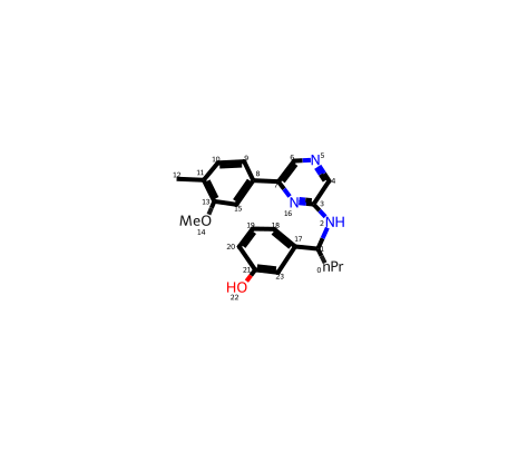 CCCC(Nc1cncc(-c2ccc(C)c(OC)c2)n1)c1cccc(O)c1